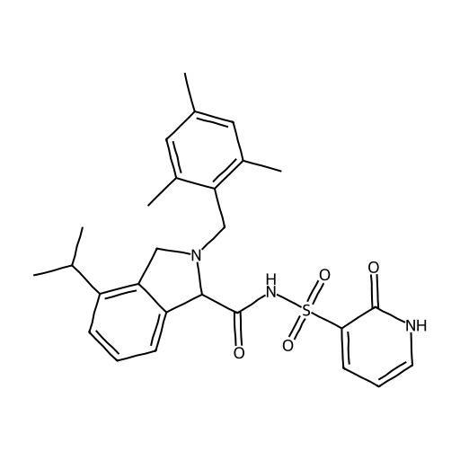 Cc1cc(C)c(CN2Cc3c(C(C)C)cccc3C2C(=O)NS(=O)(=O)c2ccc[nH]c2=O)c(C)c1